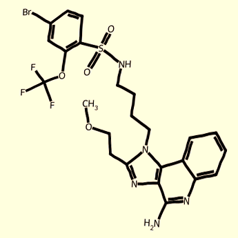 COCCc1nc2c(N)nc3ccccc3c2n1CCCCNS(=O)(=O)c1ccc(Br)cc1OC(F)(F)F